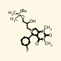 Cn1c(=O)c2c(-c3cccc(F)c3)n(CC(O)CO[Si](C)(C)C(C)(C)C)cc2n(C)c1=O